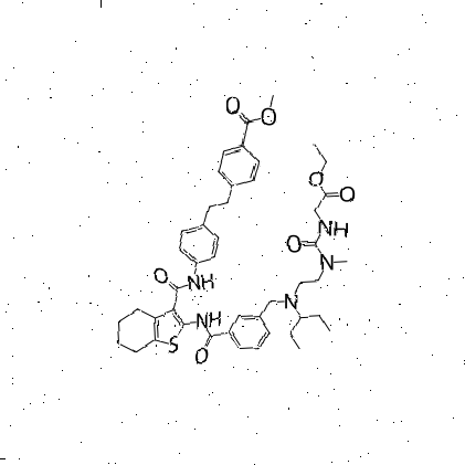 CCOC(=O)CNC(=O)N(C)CCN(Cc1cccc(C(=O)Nc2sc3c(c2C(=O)Nc2ccc(CCc4ccc(C(=O)OC)cc4)cc2)CCCC3)c1)C(CC)CC